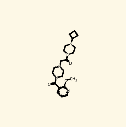 COc1ncccc1C(=O)N1CCN(CC(=O)N2CCN(C3CCC3)CC2)CC1